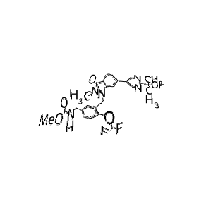 COC(=O)NCc1ccc(OC(F)F)c(Cn2c3cc(-c4cnc(C(C)(C)O)nc4)ccc3c(=O)n2C)c1